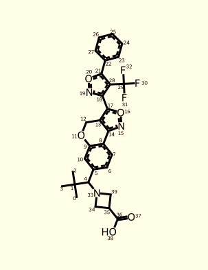 CC(C)(C)C(c1ccc2c(c1)OCc1c-2noc1-c1noc(-c2ccccc2)c1C(F)(F)F)N1CC(C(=O)O)C1